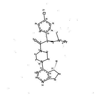 CC(C)N(C)C[C@@H](C(=O)N1CCN(c2ncnc3c2[C@H](C)CC3)CC1)c1ccc(Cl)cc1